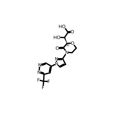 O=C(O)C(O)[C@H]1OCCN(c2ccn(-c3cnnc(C(F)(F)F)c3)n2)C1=O